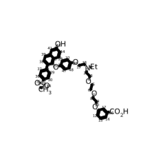 CCN(CCOCCOCCOc1cccc(C(=O)O)c1)CCOc1ccc(Oc2c(-c3ccc(S(C)(=O)=O)cc3)ccc3cc(O)ccc23)cc1